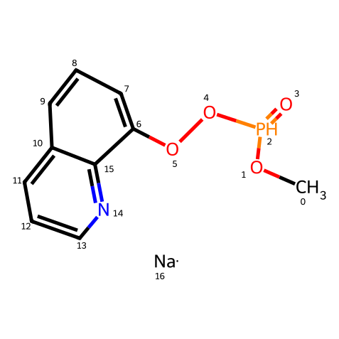 CO[PH](=O)OOc1cccc2cccnc12.[Na]